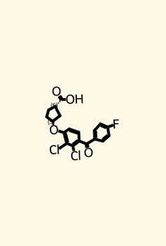 O=C(c1ccc(F)cc1)c1ccc(O[C@H]2CC[C@H](C(=O)O)C2)c(Cl)c1Cl